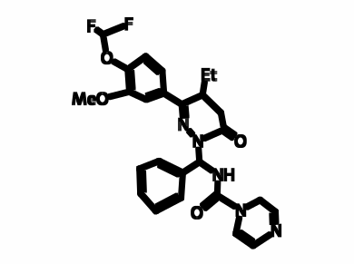 CCC1CC(=O)N(C(NC(=O)N2C=CN=CC2)c2ccccc2)N=C1c1ccc(OC(F)F)c(OC)c1